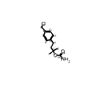 CC(C)(CCc1ccc(CCl)cc1)OC(N)=O